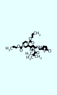 C=CCOC(=O)N1CCN(C(=O)OCC=C)C(c2cc(NCc3ccc(Cl)s3)n(C(=O)C(C)(C)C)n2)C1